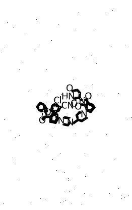 N#Cc1ccc(OC2C3CCC2N(C(=O)c2ccc(N4CCN(CC5CCN(c6cccc7c6C(=O)N(C6CCC(=O)NC6=O)C7=O)CC5)CC4)cc2)C3)cc1Cl